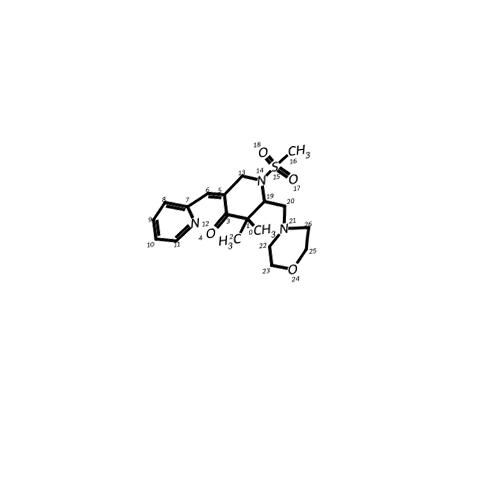 CC1(C)C(=O)/C(=C\c2ccccn2)CN(S(C)(=O)=O)C1CN1CCOCC1